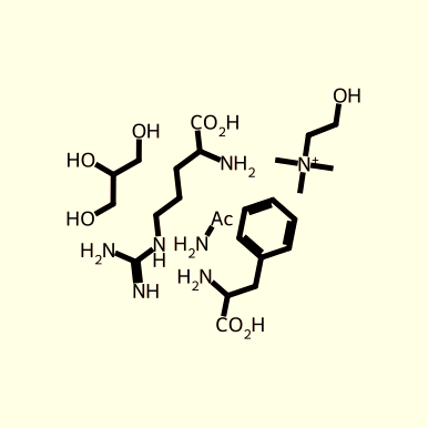 CC(N)=O.C[N+](C)(C)CCO.N=C(N)NCCCC(N)C(=O)O.NC(Cc1ccccc1)C(=O)O.OCC(O)CO